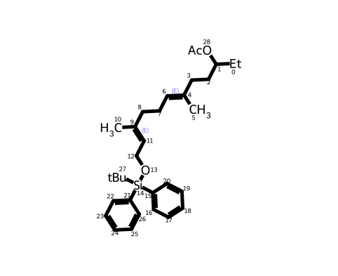 CCC(CC/C(C)=C/CC/C(C)=C/CO[Si](c1ccccc1)(c1ccccc1)C(C)(C)C)OC(C)=O